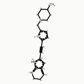 CC1CCN(Cc2ccc(C#Cc3cc4c([nH]3)=NCCC=4)o2)CC1